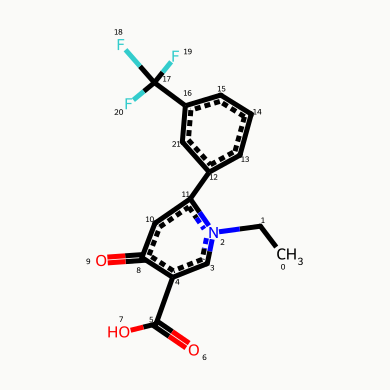 CCn1cc(C(=O)O)c(=O)cc1-c1cccc(C(F)(F)F)c1